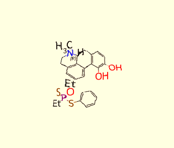 CCOP(=S)(CC)Sc1ccccc1.CN1CCc2cccc3c2[C@H]1Cc1ccc(O)c(O)c1-3